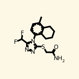 Cc1ccc(-n2c(SCC(N)=O)nnc2C(F)F)c2c1CCCC2